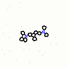 c1ccc(-c2ccccc2N(c2ccccc2)c2ccc3c(c2)c2ccccc2c2c4ccc(N(c5ccccc5)c5ccccc5)cc4ccc32)cc1